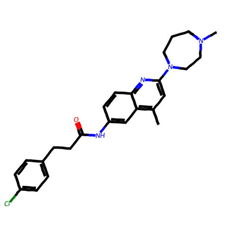 Cc1cc(N2CCCN(C)CC2)nc2ccc(NC(=O)CCc3ccc(Cl)cc3)cc12